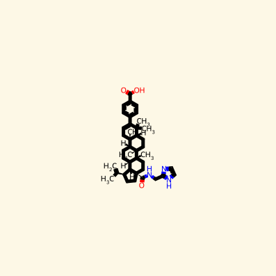 C=C(C)[C@@H]1CC[C@]2(C(=O)NCc3ncc[nH]3)CC[C@]3(C)[C@H](CC[C@@H]4[C@@]5(C)CC=C(c6ccc(C(=O)O)cc6)C(C)(C)[C@@H]5CC[C@]43C)[C@@H]12